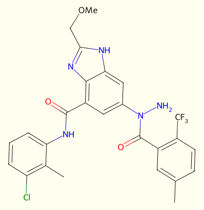 COCc1nc2c(C(=O)Nc3cccc(Cl)c3C)cc(N(N)C(=O)c3cc(C)ccc3C(F)(F)F)cc2[nH]1